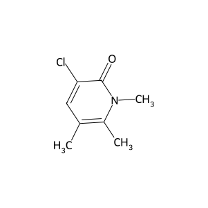 Cc1cc(Cl)c(=O)n(C)c1C